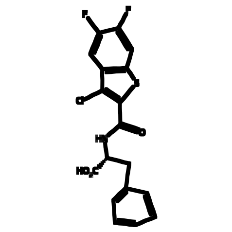 O=C(N[C@H](Cc1ccccc1)C(=O)O)c1sc2cc(F)c(F)cc2c1Cl